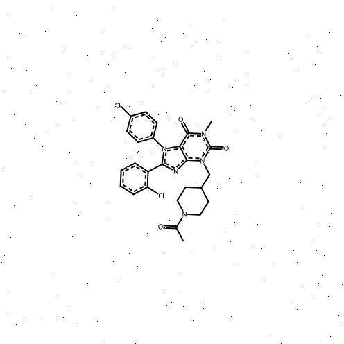 CC(=O)N1CCC(Cn2c(=O)n(C)c(=O)c3c2nc(-c2ccccc2Cl)n3-c2ccc(Cl)cc2)CC1